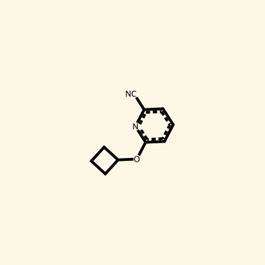 N#Cc1cccc(OC2CCC2)n1